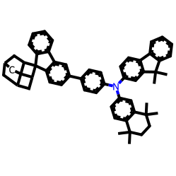 CC1(C)CCC(C)(C)c2cc(N(c3ccc(-c4ccc5c(c4)-c4ccccc4C54C5CC6CC7CC4C75C6)cc3)c3ccc4c(c3)C(C)(C)c3ccccc3-4)ccc21